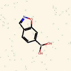 OB(O)c1ccc2cnoc2c1